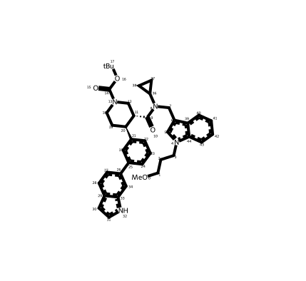 COCCCn1cc(CN(C(=O)[C@H]2CN(C(=O)OC(C)(C)C)CC[C@@H]2c2cccc(-c3ccc4cc[nH]c4c3)c2)C2CC2)c2ccccc21